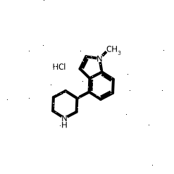 Cl.Cn1ccc2c(C3CCCNC3)cccc21